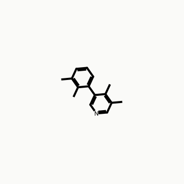 Cc1cccc(-c2cncc(C)c2C)c1C